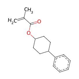 C=C(C)C(=O)OC1CCC(c2ccccc2)CC1